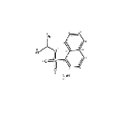 CC(C)C(OS(=O)(=O)c1cccc2ccccc12)C(C)C.[NaH]